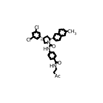 CC(=O)CCNC(=O)c1ccc(NC(=O)N2C[C@H](c3cc(Cl)cc(Cl)c3)C[C@@H]2c2ccc3cc(C)ccc3c2)cc1